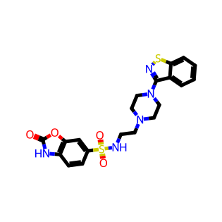 O=c1[nH]c2ccc(S(=O)(=O)NCCN3CCN(c4nsc5ccccc45)CC3)cc2o1